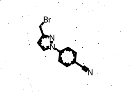 N#Cc1ccc(-n2ccc(CBr)n2)cc1